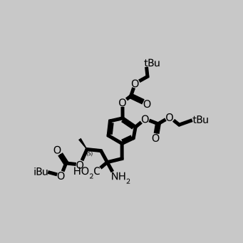 CCC(C)OC(=O)O[C@@H](C)CC(N)(Cc1ccc(OC(=O)OCC(C)(C)C)c(OC(=O)OCC(C)(C)C)c1)C(=O)O